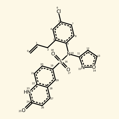 C=CCc1cc(Cl)ccc1N(c1ccon1)S(=O)(=O)c1ccc2[nH]c(=O)ccc2c1